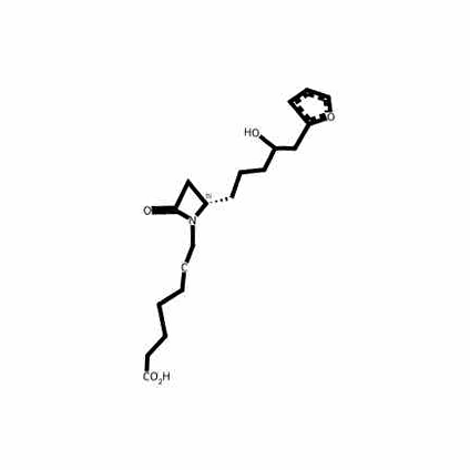 O=C(O)CCCCCCN1C(=O)C[C@@H]1CCCC(O)Cc1ccco1